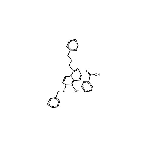 O=C(O)c1ccccc1.OC1=C2C=CC=C(COCc3ccccc3)N2C=CC1OCc1ccccc1